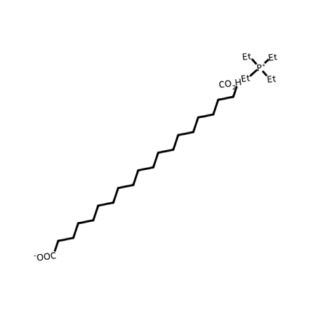 CC[P+](CC)(CC)CC.O=C([O-])CCCCCCCCCCCCCCCCCCC(=O)O